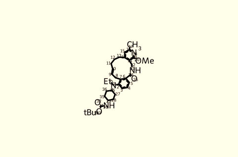 CCN(c1cccc2c1C/C=C/CCCc1cc(C)nc(OC)c1CNC2=O)[C@H]1CC[C@H](NC(=O)OC(C)(C)C)CC1